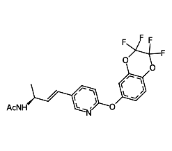 CC(=O)N[C@@H](C)/C=C/c1ccc(Oc2ccc3c(c2)OC(F)(F)C(F)(F)O3)nc1